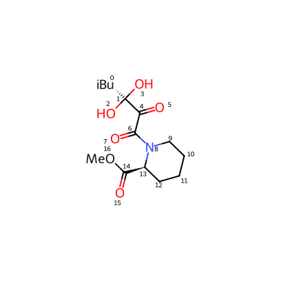 CC[C@@H](C)C(O)(O)C(=O)C(=O)N1CCCC[C@H]1C(=O)OC